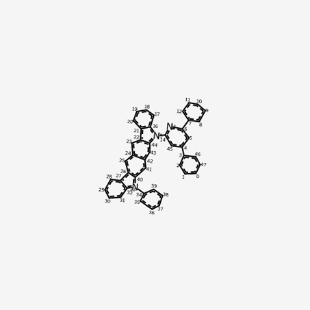 c1ccc(-c2cc(-c3ccccc3)nc(-n3c4ccccc4c4cc5cc6c7ccccc7n(-c7ccccc7)c6cc5cc43)c2)cc1